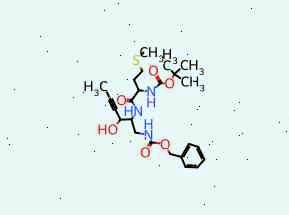 CC#CC(O)C(CNC(=O)OCc1ccccc1)NC(=O)C(CCSC)NC(=O)OC(C)(C)C